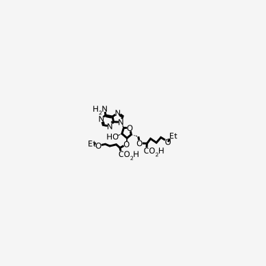 CCOCCCC(OC[C@H]1O[C@@H](n2cnc3c(N)ncnc32)[C@@H](O)[C@@H]1OC(CCCOCC)C(=O)O)C(=O)O